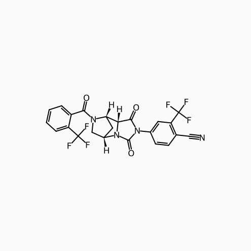 N#Cc1ccc(N2C(=O)[C@H]3[C@@H]4C[C@@H](CN4C(=O)c4ccccc4C(F)(F)F)N3C2=O)cc1C(F)(F)F